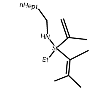 C=C(C)[Si](CC)(NCCCCCCCC)C(C)=C(C)C